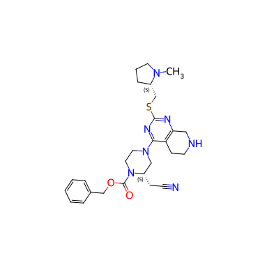 CN1CCC[C@H]1CSc1nc2c(c(N3CCN(C(=O)OCc4ccccc4)[C@@H](CC#N)C3)n1)CCNC2